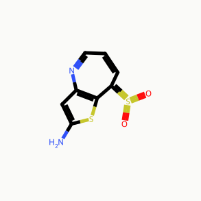 Nc1cc2ncccc(=S(=O)=O)c2s1